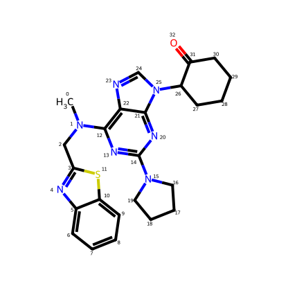 CN(Cc1nc2ccccc2s1)c1nc(N2CCCC2)nc2c1ncn2C1CCCCC1=O